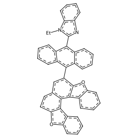 CCn1c(-c2c3ccccc3c(-c3cc4ccc5oc6ccccc6c5c4c4c3oc3ccccc34)c3ccccc23)nc2ccccc21